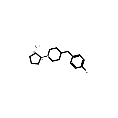 O[C@H]1CCC[C@@H]1N1CCC(Cc2ccc(Cl)cc2)CC1